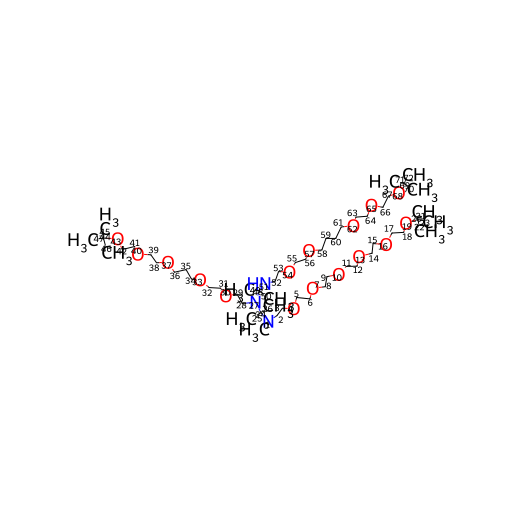 CN(CCOCCOCCOCCOCCOCCOC(C)(C)C)C(C)(C)N(CCOCCOCCCOCCOCCOC(C)(C)C)C(C)(C)NCCOCCOCCCCOCCOCCOC(C)(C)C